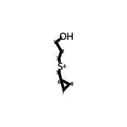 OCCCSCC1CC1